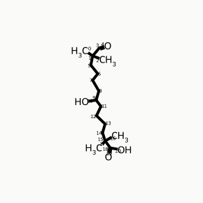 CC(C)(C=O)CCCCC(O)CCCCC(C)(C)C(=O)O